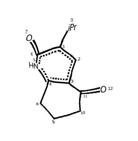 CC(C)c1cc2c([nH]c1=O)CCCC2=O